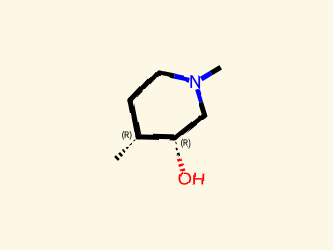 C[C@@H]1CCN(C)C[C@@H]1O